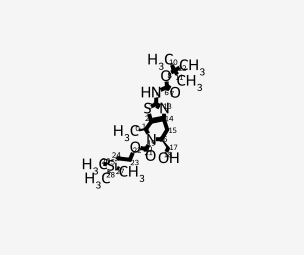 C[C@H]1c2sc(NC(=O)OC(C)(C)C)nc2C[C@@H](CO)N1C(=O)OCC[Si](C)(C)C